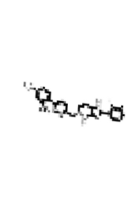 Fc1cccc(-c2nc3c([nH]2)C=CN(Cc2ccc(-c4ccc(C(F)(F)F)cc4C(F)(F)F)nn2)N3)c1F